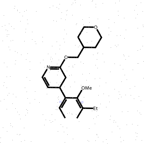 C/C=C(\C(OC)=C(/C)CC)C1C=CN=C(OCC2CCOCC2)C1